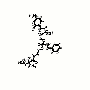 CC(C)(CO)C(=O)SCCOP(=O)(NCc1ccccc1)OC[C@@H]1O[C@@H](n2ccc(N)nc2=O)CC1O